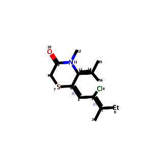 CC/C(C)=C(Cl)/C=C1/SCC(=O)N(C)C1=C(C)C